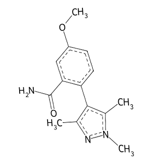 COc1ccc(-c2c(C)nn(C)c2C)c(C(N)=O)c1